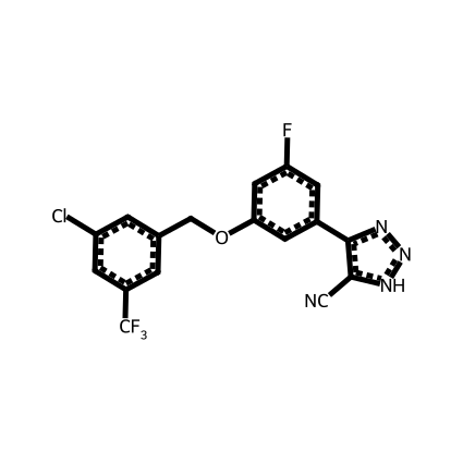 N#Cc1[nH]nnc1-c1cc(F)cc(OCc2cc(Cl)cc(C(F)(F)F)c2)c1